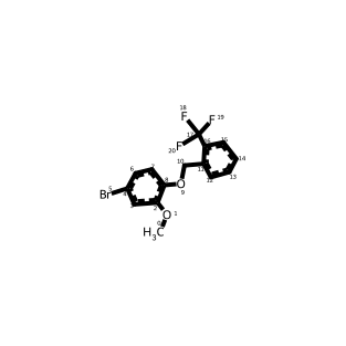 COc1cc(Br)ccc1OCc1ccccc1C(F)(F)F